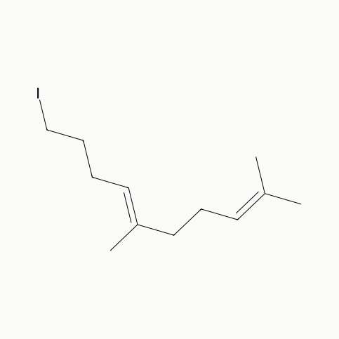 CC(C)=CCCC(C)=CCCCI